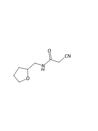 N#CCC(=O)NCC1CCCO1